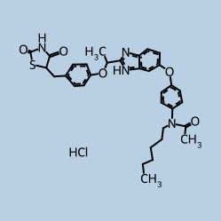 CCCCCCN(C(C)=O)c1ccc(Oc2ccc3nc(C(C)Oc4ccc(CC5SC(=O)NC5=O)cc4)[nH]c3c2)cc1.Cl